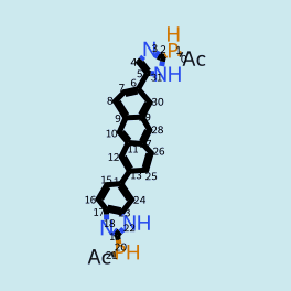 CC(=O)Pc1ncc(-c2ccc3cc4cc(-c5ccc6nc(PC(C)=O)[nH]c6c5)ccc4cc3c2)[nH]1